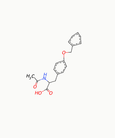 CC(=O)NC(Cc1ccc(OCc2ccccc2)cc1)C(=O)O